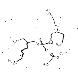 CC(=O)[O-].CCCCC(CC)COP(=O)([O-])OCC(CC)CCCC.[Cu+2]